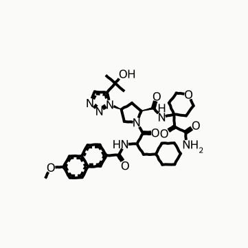 COc1ccc2cc(C(=O)NC(CC3CCCCC3)C(=O)N3C[C@@H](n4nncc4C(C)(C)O)C[C@H]3C(=O)NC3(C(=O)C(N)=O)CCOCC3)ccc2c1